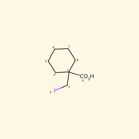 O=C(O)C1(CI)CCCCC1